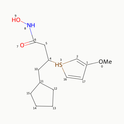 COC1=C[SH](C(CC(=O)NO)CC2CCCC2)C=C1